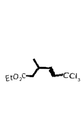 CCOC(=O)CC(C)/C=C/C(Cl)(Cl)Cl